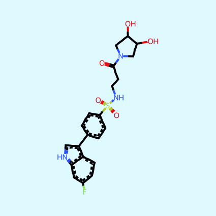 O=C(CCNS(=O)(=O)c1ccc(-c2c[nH]c3cc(F)ccc23)cc1)N1CC(O)C(O)C1